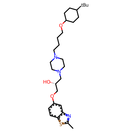 Cc1nc2cc(OC[C@H](O)CN3CCN(CCCCOC4CCC(C(C)(C)C)CC4)CC3)ccc2s1